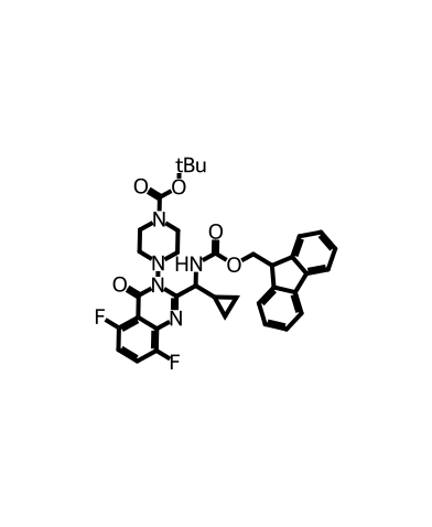 CC(C)(C)OC(=O)N1CCN(n2c(C(NC(=O)OCC3c4ccccc4-c4ccccc43)C3CC3)nc3c(F)ccc(F)c3c2=O)CC1